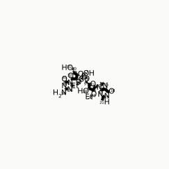 CCO[C@H]1C(OP(=O)(O)OC[C@H]2O[C@@H](n3cnc4c(=O)[nH]c(C)nc43)[C@@H](OCC)C2O)[C@@H](CO)O[C@H]1n1cnc(N)nc1=O